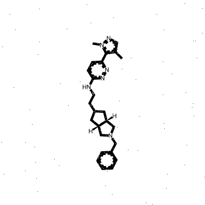 Cc1cnn(C)c1-c1ccc(NCCC2C[C@@H]3CN(Cc4ccccc4)C[C@@H]3C2)nn1